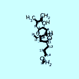 C=C(O)C(C)C[C@H]1CC[C@@H]2O[C@@H](CCCOP)C[C@]2(CI)O1